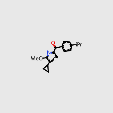 COc1nc(C(=O)c2ccc(C(C)C)cc2)ccc1C1CC1